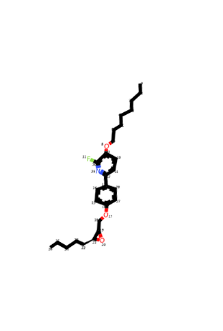 CCCCCCCCOc1ccc(-c2ccc(OCC3O[C@H]3CCCCC)cc2)nc1F